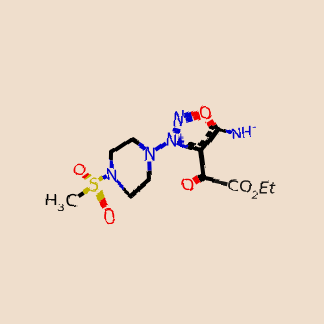 CCOC(=O)C(=O)c1c([NH-])on[n+]1N1CCN(S(C)(=O)=O)CC1